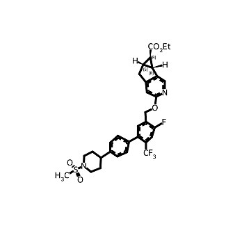 CCOC(=O)[C@@H]1[C@H]2Cc3cc(OCc4cc(-c5ccc(C6CCN(S(C)(=O)=O)CC6)cc5)c(C(F)(F)F)cc4F)ncc3[C@H]21